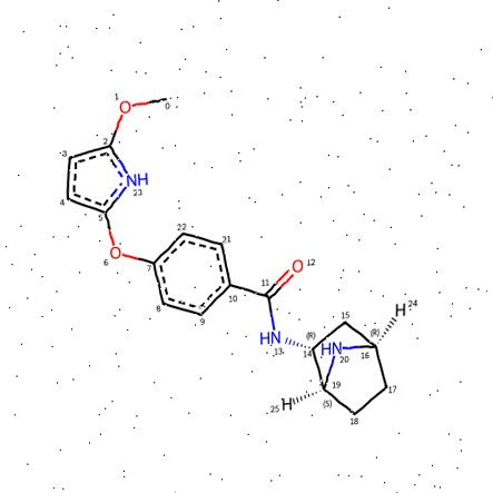 COc1ccc(Oc2ccc(C(=O)N[C@@H]3C[C@H]4CC[C@@H]3N4)cc2)[nH]1